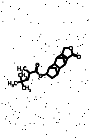 CC(CC(C)(C)C)C(=O)OC1CC2CC1C1C3CC(C4=C3COC4=O)C21